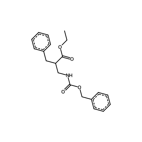 CCOC(=O)C(CNC(=O)OCc1ccccc1)Cc1ccccc1